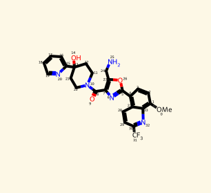 COc1ccc(-c2nc(C(=O)N3CCC(O)(c4ccccn4)CC3)c(CN)o2)c2ccc(C(F)(F)F)nc12